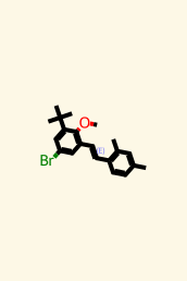 COc1c(/C=C/c2ccc(C)cc2C)cc(Br)cc1C(C)(C)C